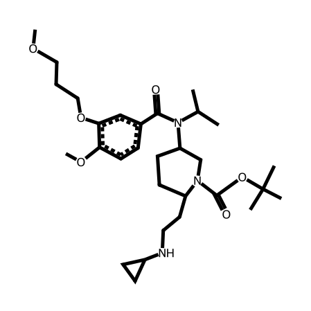 COCCCOc1cc(C(=O)N(C(C)C)C2CCC(CCNC3CC3)N(C(=O)OC(C)(C)C)C2)ccc1OC